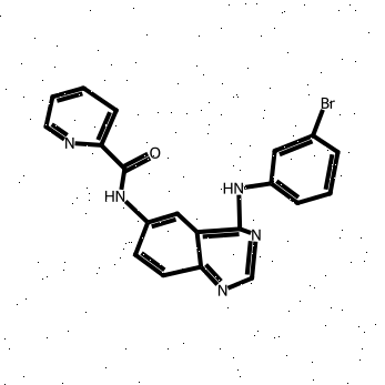 O=C(Nc1ccc2ncnc(Nc3cccc(Br)c3)c2c1)c1ccccn1